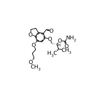 COCCCOc1cc(OC[C@H](OC(N)=O)C(C)C)c(C=O)c2c1OCC2